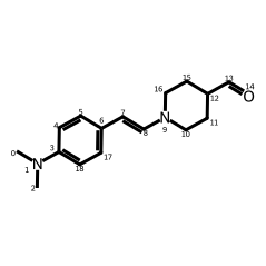 CN(C)c1ccc(C=CN2CCC(C=O)CC2)cc1